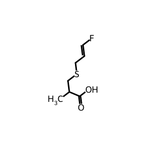 CC(CSCC=CF)C(=O)O